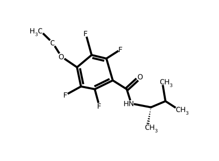 CCOc1c(F)c(F)c(C(=O)N[C@@H](C)C(C)C)c(F)c1F